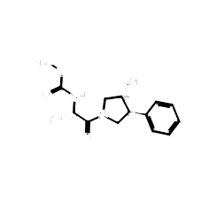 CC(C)[C@H](NC(=O)OC(C)(C)C)C(=O)N1C[C@H](c2ccccc2)[C@@H](C(C)C)C1